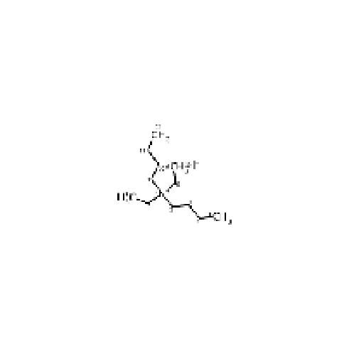 CCCC[N+](CC)(CC)CCCC.[I-]